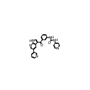 O=C(Nc1ccncc1)Nc1cccc(C(=O)c2c[nH]c3ncc(-c4cccnc4)cc23)c1